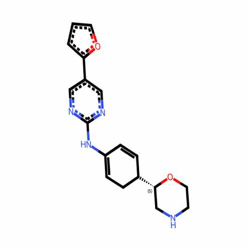 C1=CC([C@H]2CNCCO2)CC=C1Nc1ncc(-c2ccco2)cn1